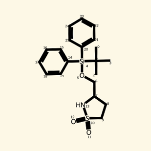 CC(C)(C)[Si](OCC1CCS(=O)(=O)N1)(c1ccccc1)c1ccccc1